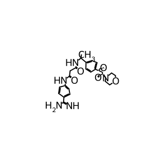 CC(NC(=O)CC(=O)Nc1ccc(C(=N)N)cc1)c1ccc(S(=O)(=O)N2CCOCC2)cc1